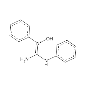 NC(Nc1ccccc1)=[N+](O)c1ccccc1